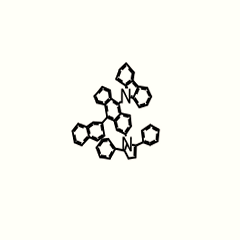 C1=C(c2ccccc2)N(c2ccc3c(-n4c5ccccc5c5ccccc54)c4ccccc4c(-c4ccc5ccccc5c4)c3c2)C(c2ccccc2)C1